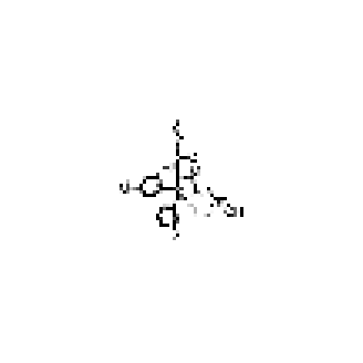 CCCCC(=O)NN1C(=O)[C@H](C[C@H](O)CO)O[C@@H](c2cccc(Cl)c2)[C@H]1c1ccc(Cl)cc1